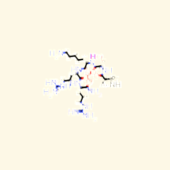 CC(=O)N[C@H](C(=O)N[C@@H](CO)C(=O)N[C@@H](CCCCCN)C(=O)N[C@@H](CCCNC(=N)N)C(=O)N[C@@H](CCCNC(=N)N)C(N)=O)C(C)C